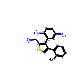 Cc1ccccc1-c1csc(CN)c1-c1cc(N)ccc1N